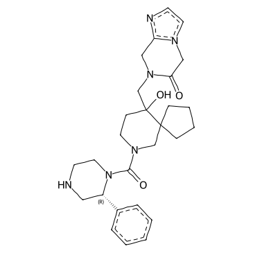 O=C1Cn2ccnc2CN1CC1(O)CCN(C(=O)N2CCNC[C@H]2c2ccccc2)CC12CCCC2